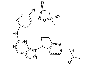 CC(=O)Nc1ccc2c(c1)CCC2n1ncc2cnc(Nc3ccc(NS(=O)(=O)CS(C)(=O)=O)cc3)nc21